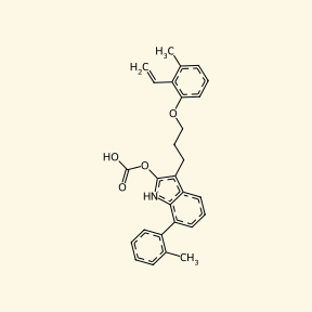 C=Cc1c(C)cccc1OCCCc1c(OC(=O)O)[nH]c2c(-c3ccccc3C)cccc12